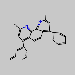 C=C/C=C(\C=C/C)c1cc(C)nc2c1ccc1c(-c3ccccc3)cc(C)nc12